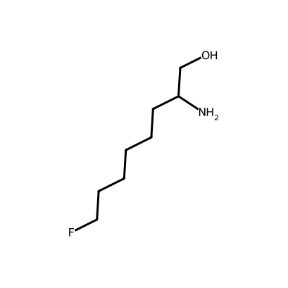 NC(CO)CCCCCCF